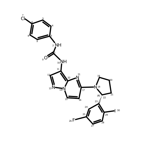 O=C(Nc1ccc(Cl)cc1)Nc1cnn2ccc(N3CCC[C@@H]3c3cc(F)ccc3I)nc12